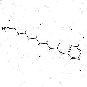 CCCCCCCCCC(I)Oc1ccccc1